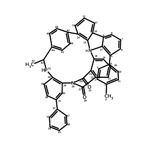 Cc1ccc(-c2cccc3c4cccc5c4n(c23)-c2cccc3c2C(=O)N(C3=O)c2cc(-c3ccccc3)ccc2PC(C)c2ccc-5cc2)cc1